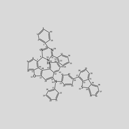 c1ccc(C2=NC(c3cccc4oc5cc(N(c6ccccc6)c6ccc(-c7cccc8c7sc7ccccc78)cc6)c6ccccc6c5c34)NC(c3ccccc3)=N2)cc1